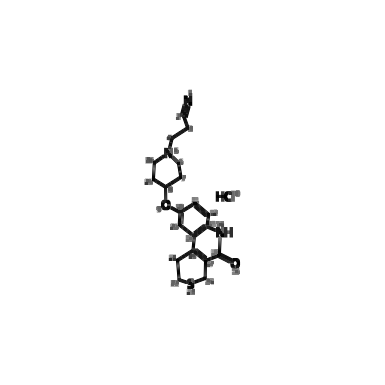 Cl.N#CCCN1CCC(Oc2ccc3[nH]c(=O)c4c(c3c2)CCSC4)CC1